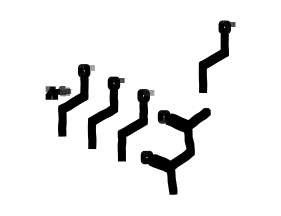 CC(=O)CC(C)=O.CCC[O-].CCC[O-].CCC[O-].CCC[O-].[Zr+4]